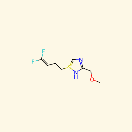 COCC1=NC=S(CCC=C(F)F)N1